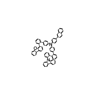 c1ccc(-c2ccccc2-n2c3ccccc3c3ccccc32)c(-c2ccc(N(c3ccc(-c4ccc5ccccc5c4)cc3)c3ccc(-c4ccccc4-c4cccc5c4oc4ccccc45)cc3)cc2)c1